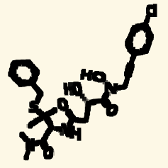 CN(C)C(=O)[C@H](NC(=O)C[C@H](O)C(=O)N(O)CC#Cc1ccc(Cl)cc1)C(C)(C)SCc1ccccc1